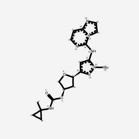 CC1(NC(=O)O[C@H]2CO[C@@H](c3cc(Nc4nccc5nccn45)n(C(C)(C)C)n3)C2)CC1